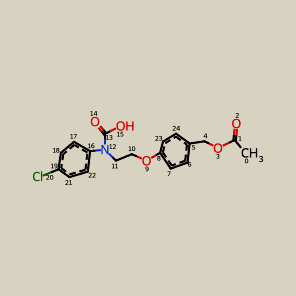 CC(=O)OCc1ccc(OCCN(C(=O)O)c2ccc(Cl)cc2)cc1